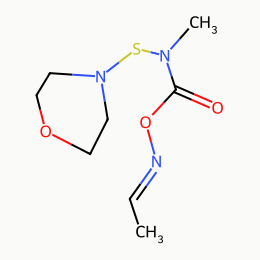 CC=NOC(=O)N(C)SN1CCOCC1